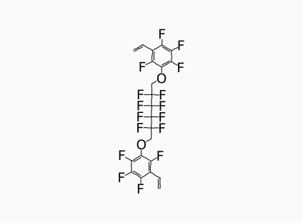 C=Cc1c(F)c(F)c(F)c(OCC(F)(F)C(F)(F)C(F)(F)C(F)(F)COc2c(F)c(F)c(F)c(C=C)c2F)c1F